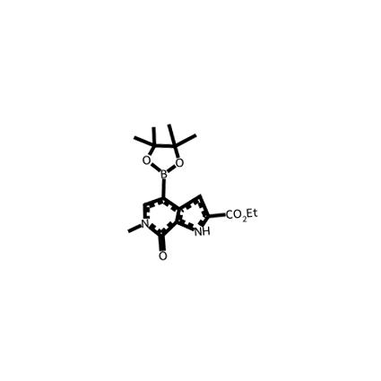 CCOC(=O)c1cc2c(B3OC(C)(C)C(C)(C)O3)cn(C)c(=O)c2[nH]1